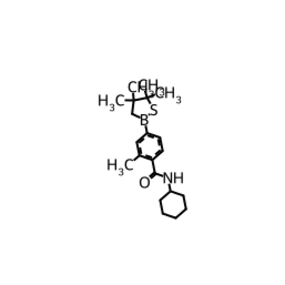 Cc1cc(B2CC(C)(C)C(C)(C)S2)ccc1C(=O)NC1CCCCC1